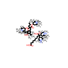 CC1(C)CC(C(CCCCCCCC(=O)O)(C(=O)O)C2CC(C)(C)NC(C)(C)C2)CC(C)(C)N1.CCCCC(Cc1cc(C(C)(C)C)c(O)c(C(C)(C)C)c1)(C(=O)OC1CC(C)(C)N(C)C(C)(C)C1)C(=O)OC1CC(C)(C)N(C)C(C)(C)C1